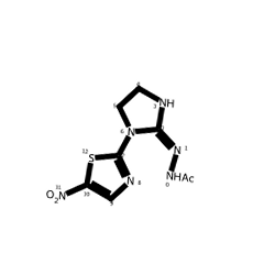 CC(=O)NN=C1NCCN1c1ncc([N+](=O)[O-])s1